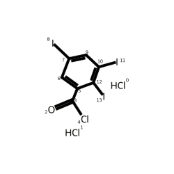 Cl.Cl.O=C(Cl)c1cc(I)cc(I)c1I